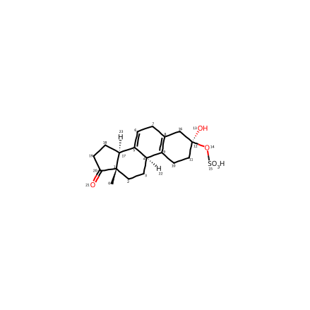 C[C@]12CC[C@H]3C(=CCC4=C3CC[C@](O)(OS(=O)(=O)O)C4)[C@@H]1CCC2=O